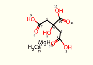 O=C(O)CC(O)(CC(=O)O)C(=O)O.[CaH2].[MgH2]